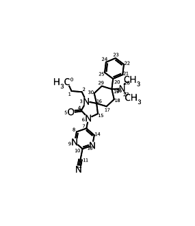 CCCN1C(=O)N(c2cnc(C#N)nc2)CC12CCC(c1ccccc1)(N(C)C)CC2